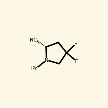 CC(C)N1CC(F)(F)C[C@H]1C#N